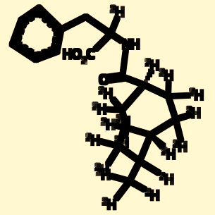 [2H]C(Cc1ccccc1)(NC(=O)[C@]1([2H])C([2H])([2H])C([2H])([2H])[C@@]([2H])(C([2H])(C([2H])([2H])[2H])C([2H])([2H])[2H])C([2H])([2H])C1([2H])[2H])C(=O)O